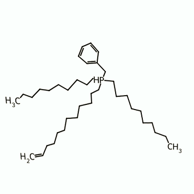 C=CCCCCCCCCCC[PH](CCCCCCCCCC)(CCCCCCCCCC)Cc1ccccc1